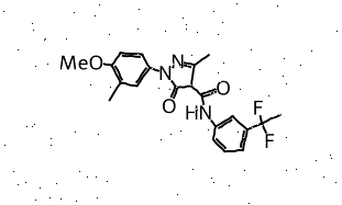 COc1ccc(N2N=C(C)C(C(=O)Nc3cccc(C(C)(F)F)c3)C2=O)cc1C